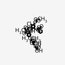 CC(C)N1C(=O)c2ccccc2NS1(=O)=O.COC(=O)CSc1cc(/N=c2\sc(=O)n3n2CCCC3)c(F)cc1Cl.C[S+](C)C.O=C(O)CNCP(=O)([O-])O